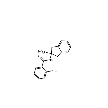 CCCCc1ccccc1C(=O)NC1(C(=O)O)Cc2ccccc2C1